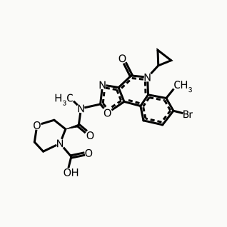 Cc1c(Br)ccc2c3oc(N(C)C(=O)[C@@H]4COCCN4C(=O)O)nc3c(=O)n(C3CC3)c12